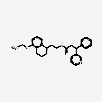 O=C(O)COc1cccc2c1CCCC2CCNC(=O)CC(c1ccccc1)c1cccnc1